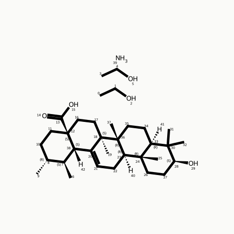 CCO.CCO.C[C@H]1[C@H](C)CC[C@]2(C(=O)O)CC[C@]3(C)C(=CC[C@@H]4[C@@]5(C)CC[C@H](O)C(C)(C)[C@@H]5CC[C@]43C)[C@H]12.N